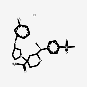 C[C@@H](c1ccc(S(C)(=O)=O)cc1)C1CC(C(N)=O)(N2CCC(Oc3cccc(C(F)(F)F)c3)C2)CCO1.Cl